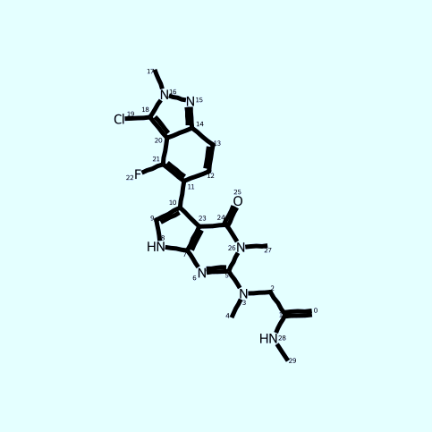 C=C(CN(C)c1nc2[nH]cc(-c3ccc4nn(C)c(Cl)c4c3F)c2c(=O)n1C)NC